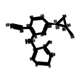 Cc1ncccc1Nc1nc([C@@H]2C[C@H]2C)ccc1C#N